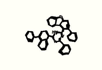 c1ccc(C2=NC(c3c(-c4ccccc4)ccc4oc5ccccc5c34)NC(c3ccc(-c4ccccc4)c4ccccc34)=N2)cc1